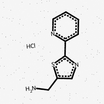 Cl.NCc1cnc(-c2ccccn2)s1